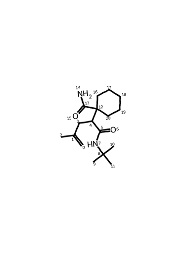 C=C(C)CC(C(=O)NC(C)(C)C)C1(C(N)=O)CCCCC1